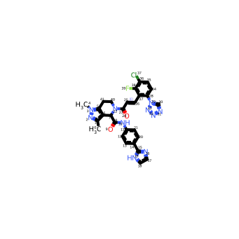 Cc1nn(C)c2c1C(C(=O)Nc1ccc(-c3ncc[nH]3)cc1)N(C(=O)/C=C/c1c(-n3cnnn3)ccc(Cl)c1F)CC2